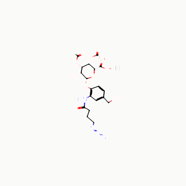 COC(=O)[C@H]1O[C@@H](Oc2ccc(CO)cc2NC(=O)CCCN=[N+]=[N-])[C@H](O)[C@@H](OC(C)=O)[C@@H]1OC(C)=O